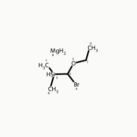 CCOC(Br)[SiH](C)C.[MgH2]